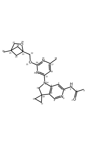 CC(=O)Nc1cc2c(cn1)C1(CC1)CN2c1cc(C)nc(OCC23CC(C)(CO2)C3)n1